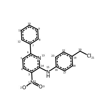 O=[N+]([O-])c1ccc(-c2ccccc2)nc1Nc1ccc(CCl)cc1